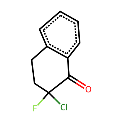 O=C1c2ccccc2CCC1(F)Cl